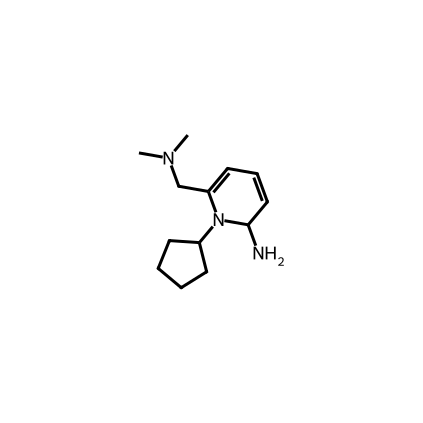 CN(C)CC1=CC=CC(N)N1C1CCCC1